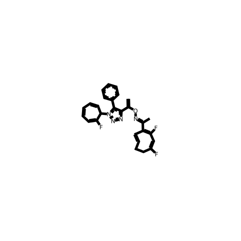 C=C(O/N=C(C)/C1=C(F)/C=C(/F)CC\C=C\1)c1nnn(C2C=CC=CC=C2F)c1-c1ccccc1